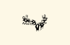 COc1nc(-c2cccc(-c3cccc(NC(=O)c4cn(C)c(=O)n(C)c4=O)c3C)c2Cl)cc2c1C(N1CC3(CCC(=O)N3)C1)CC2